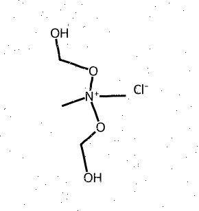 C[N+](C)(OCO)OCO.[Cl-]